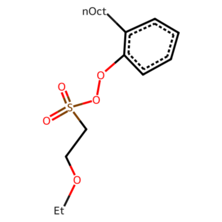 CCCCCCCCc1ccccc1OOS(=O)(=O)CCOCC